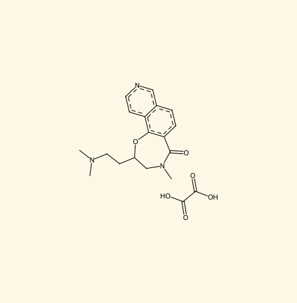 CN(C)CCC1CN(C)C(=O)c2ccc3cnccc3c2O1.O=C(O)C(=O)O